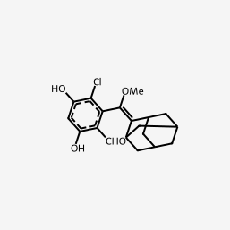 COC(=C1C2CC3CC(C2)CC1C3)c1c(Cl)c(O)cc(O)c1C=O